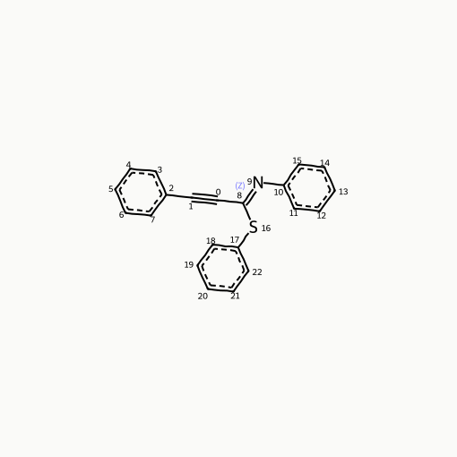 C(#Cc1ccccc1)/C(=N/c1ccccc1)Sc1ccccc1